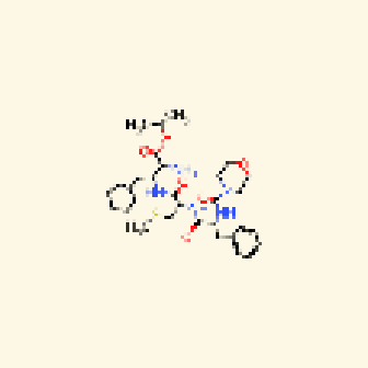 CSC[C@H](NC(=O)[C@H](Cc1ccccc1)NC(=O)N1CCOCC1)C(=O)N[C@@H](CC1CCCCC1)[C@H](N)C(=O)OC(C)C